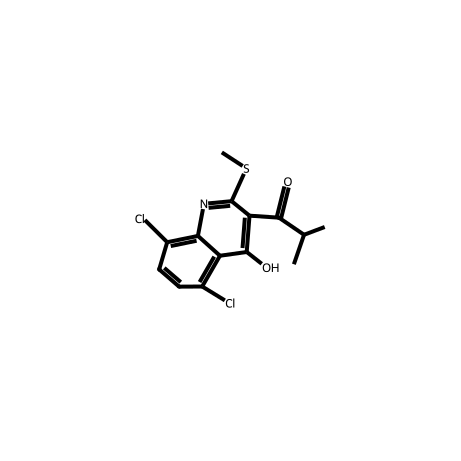 CSc1nc2c(Cl)ccc(Cl)c2c(O)c1C(=O)C(C)C